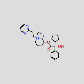 C[N+]1(CCc2ncccn2)CCCC(OC(=O)[C@](O)(c2ccccc2)C2CCCC2)C1